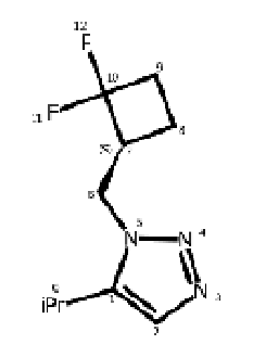 CC(C)c1cnnn1C[C@@H]1CCC1(F)F